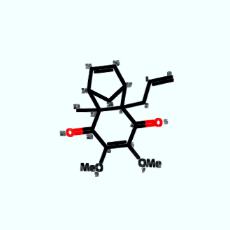 C=CCC12C(=O)C(OC)=C(OC)C(=O)C1(C)C1C=CC2C1